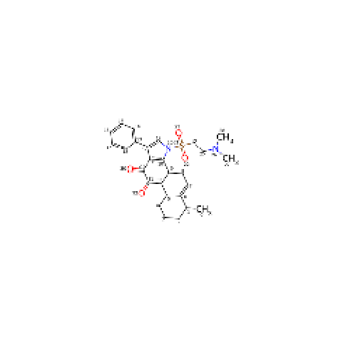 CC1CCCC2C1=CCC1c3c(c(-c4ccccc4)cn3S(=O)(=O)CCN(C)C)C(=O)C(=O)C21